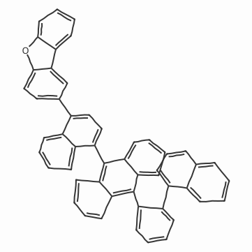 c1ccc(-c2c3ccccc3c(-c3ccc(-c4ccc5oc6ccccc6c5c4)c4ccccc34)c3ccccc23)c(-c2cccc3ccccc23)c1